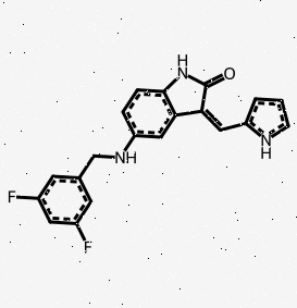 O=C1Nc2ccc(NCc3cc(F)cc(F)c3)cc2C1=Cc1ccc[nH]1